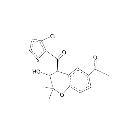 CC(=O)c1ccc2c(c1)[C@H](C(=O)c1sccc1Cl)C(O)C(C)(C)O2